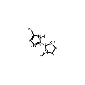 CN1CCS[C@H]1c1ncc(I)[nH]1